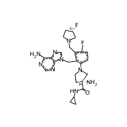 Nc1ncnc2c1ncn2Cc1c(N2CC[C@](N)(C(=O)NC3CC3)C2)ccc(F)c1CN1CC[C@H](F)C1